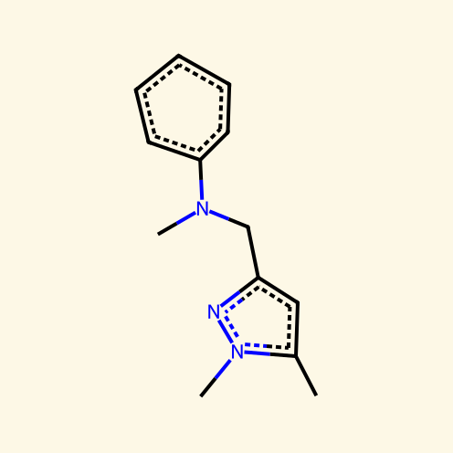 Cc1cc(CN(C)c2ccccc2)nn1C